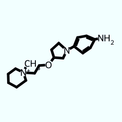 C[N+]1(CCOC2CCN(c3ccc(N)cc3)C2)CCCCC1